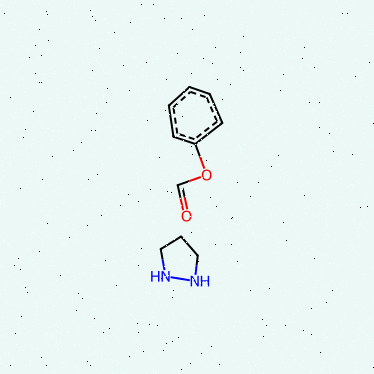 C1CNNC1.O=COc1ccccc1